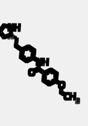 CCOc1ccc(C(=O)Nc2ccc(CC[C@@H]3CCCN3)cc2)cc1